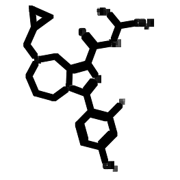 Cc1ccc(-c2nc(C(=O)NC(C(=O)O)C(C)(C)C)c3n2CCCN(CC2CC2)C3)c(F)c1